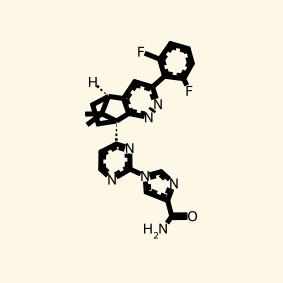 CC1(C)[C@H]2CC[C@]1(c1ccnc(-n3cnc(C(N)=O)c3)n1)c1nnc(-c3c(F)cccc3F)cc12